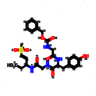 CS(=O)(=O)/C=C/[C@H](CC(=O)O)NC(=O)CNC(=O)[C@H](Cc1ccc(O)cc1)NC(=O)CNC(=O)OCc1ccccc1